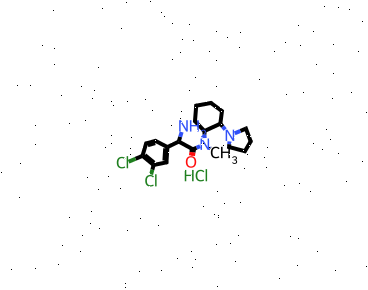 CN(C(=O)C(N)c1ccc(Cl)c(Cl)c1)C1CCCCC1N1CCCC1.Cl